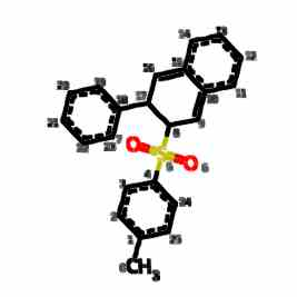 Cc1ccc(S(=O)(=O)C2C=c3ccccc3=CC2c2ccccc2)cc1